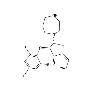 Fc1cc(F)c(O[C@@H]2c3ccccc3C[C@H]2N2CCCNCC2)c(F)c1